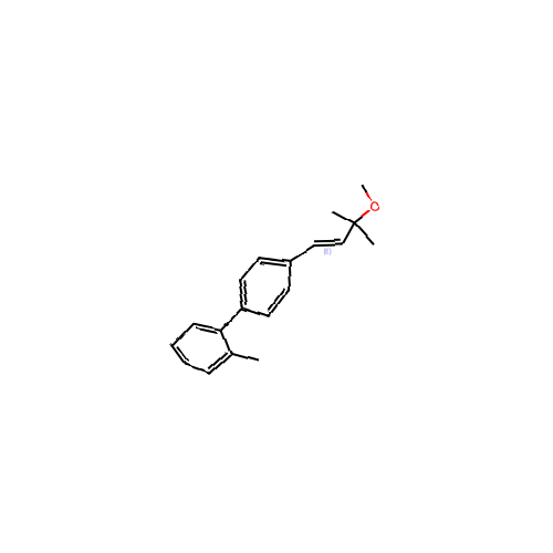 COC(C)(C)/C=C/c1ccc(-c2ccccc2C)cc1